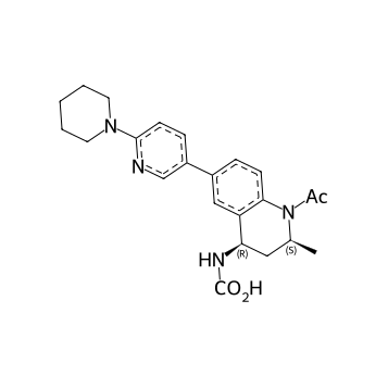 CC(=O)N1c2ccc(-c3ccc(N4CCCCC4)nc3)cc2[C@H](NC(=O)O)C[C@@H]1C